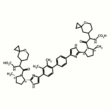 Cc1c(-c2ccc(-c3c[nH]c([C@@H]4CC[C@H](C)N4C(=O)C(NC(=O)O)C4CCOC5(CC5)C4)n3)cc2)ccc(-c2c[nH]c([C@@H]3CC[C@H](C)N3C(=O)C(NC(=O)O)C3CCOC4(CC4)C3)n2)c1C